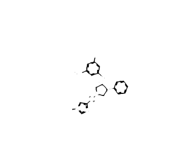 Cn1cnc(S(=O)(=O)N2C[C@H](Nc3cc(Cl)cc(C#N)c3)[C@@H](c3ccccc3)C2)c1